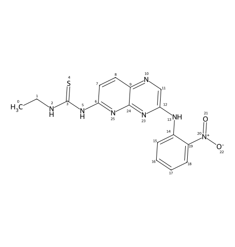 CCNC(=S)Nc1ccc2ncc(Nc3ccccc3[N+](=O)[O-])nc2n1